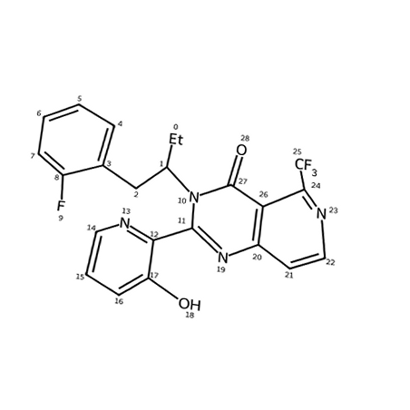 CCC(Cc1ccccc1F)n1c(-c2ncccc2O)nc2ccnc(C(F)(F)F)c2c1=O